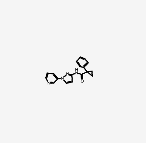 O=C(Nc1ccn(-c2cccnc2)n1)C1(c2ccccc2)CC1